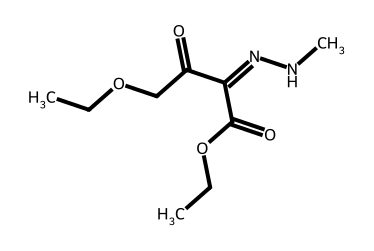 CCOCC(=O)/C(=N/NC)C(=O)OCC